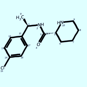 C[C@@H](NC(=O)[C@H]1CCCCN1)c1ccc(Cl)cc1